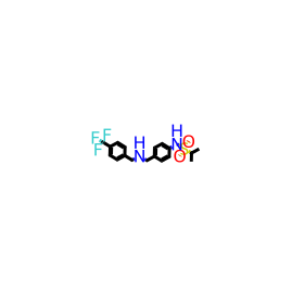 CC(C)S(=O)(=O)Nc1ccc(CNCc2ccc(C(F)(F)F)cc2)cc1